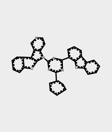 c1ccc(-c2nc(-c3cccc4c3oc3ccccc34)nc(-n3c4ccncc4c4c5ccccc5oc43)n2)cc1